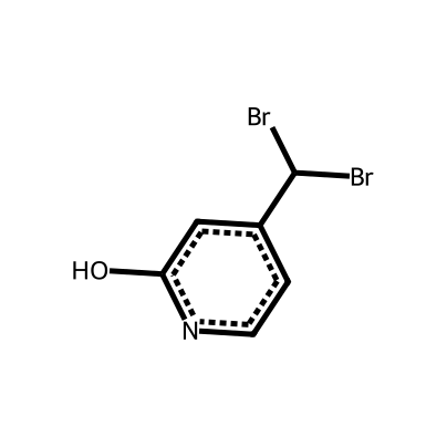 Oc1cc(C(Br)Br)ccn1